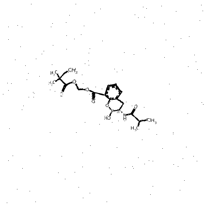 CC(C)C(=O)N[C@H]1Cc2cccc(C(=O)OCOC(=O)C(C)(C)C)c2OB1O